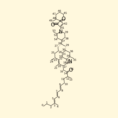 CCC/C(C)=C/C=C/C=C/CCC(C)C(=O)CC(C#N)/C(C)=C/[C@@H](C)CCC[C@@H](C[C@H]1CCCC(C)C1)C1CCN(C2=CC3(OCCCC3C)C2=O)C(C)C1